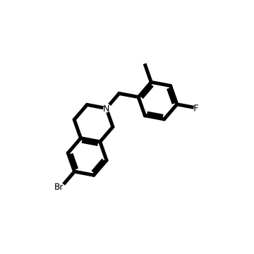 Cc1cc(F)ccc1CN1CCc2cc(Br)ccc2C1